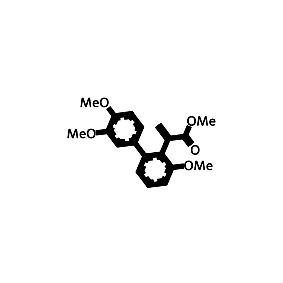 C=C(C(=O)OC)c1c(OC)cccc1-c1ccc(OC)c(OC)c1